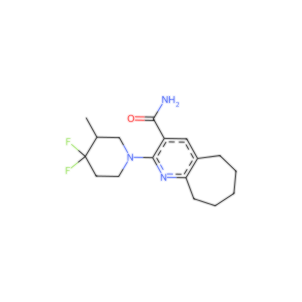 CC1CN(c2nc3c(cc2C(N)=O)CCCCC3)CCC1(F)F